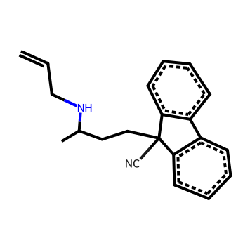 C=CCNC(C)CCC1(C#N)c2ccccc2-c2ccccc21